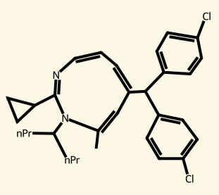 CCCC(CCC)n1c(C)cc(C(c2ccc(Cl)cc2)c2ccc(Cl)cc2)cccnc1C1CC1